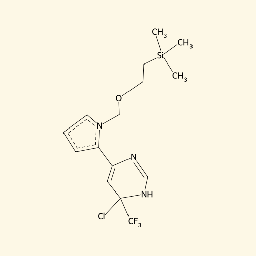 C[Si](C)(C)CCOCn1cccc1C1=CC(Cl)(C(F)(F)F)NC=N1